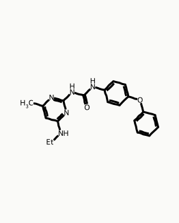 CCNc1cc(C)nc(NC(=O)Nc2ccc(Oc3ccccc3)cc2)n1